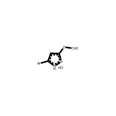 Cl.O=COc1cc(Br)[nH]n1